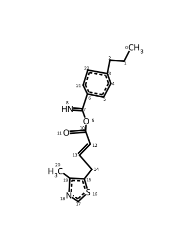 CCCc1ccc(C(=N)OC(=O)/C=C/Cc2scnc2C)cc1